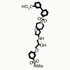 CNS(=O)(=O)c1cccc(OC[C@@H](O)CNC2COC3(CCN(S(=O)(=O)c4cccc(-c5cccc(C(=O)O)c5)c4)CC3)C2)c1